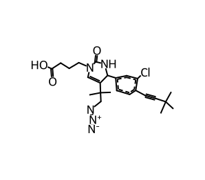 CC(C)(C)C#Cc1ccc(C2NC(=O)N(CCCC(=O)O)C=C2C(C)(C)CN=[N+]=[N-])cc1Cl